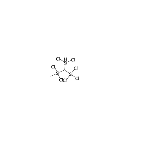 C[Si](Cl)(Cl)C([SiH](Cl)Cl)[Si](Cl)(Cl)Cl